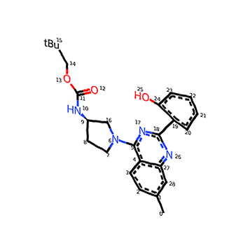 Cc1ccc2c(N3CC[C@@H](NC(=O)OCC(C)(C)C)C3)nc(-c3ccccc3O)nc2c1